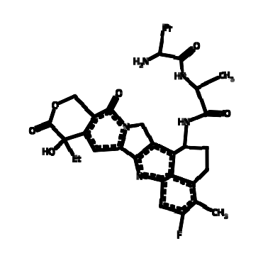 CCC1(O)C(=O)OCc2c1cc1n(c2=O)Cc2c-1nc1cc(F)c(C)c3c1c2C(NC(=O)C(C)NC(=O)C(N)C(C)C)CC3